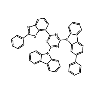 c1ccc(-c2ccc3c4ccccc4n(-c4nc(-c5cccc6nc(-c7ccccc7)sc56)nc(-n5c6ccccc6c6ccccc65)n4)c3c2)cc1